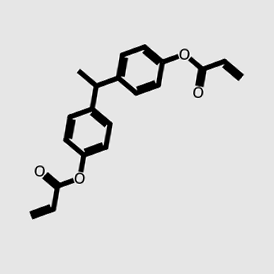 C=CC(=O)Oc1ccc(C(C)c2ccc(OC(=O)C=C)cc2)cc1